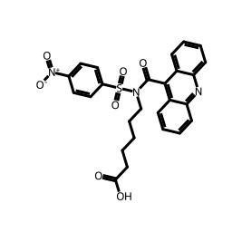 O=C(O)CCCCCN(C(=O)c1c2ccccc2nc2ccccc12)S(=O)(=O)c1ccc([N+](=O)[O-])cc1